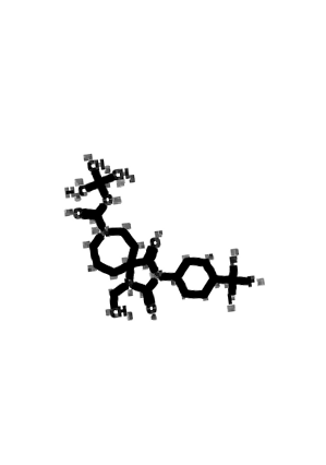 CCN1C(=O)N(C2CCC(C(F)(F)F)CC2)C(=O)C12CCCN(C(=O)OC(C)(C)C)CC2